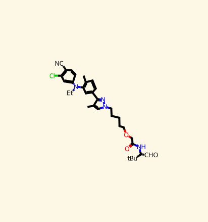 CCN(c1ccc(C#N)c(Cl)c1)c1cc(-c2nn(CCCCCOCC(=O)NC(C=O)C(C)(C)C)cc2C)ccc1C